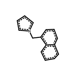 c1ccc2c(Cn3cccc3)cccc2c1